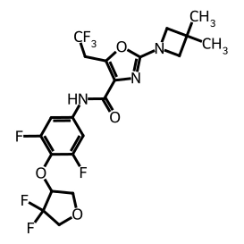 CC1(C)CN(c2nc(C(=O)Nc3cc(F)c(OC4COCC4(F)F)c(F)c3)c(CC(F)(F)F)o2)C1